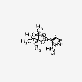 CCC1(C)OB(c2ccnn2PI)OC1(C)C